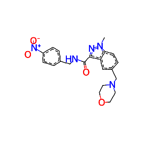 Cn1nc(C(=O)NCc2ccc([N+](=O)[O-])cc2)c2cc(CN3CCOCC3)ccc21